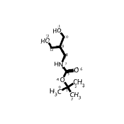 CC(C)(C)OC(=O)NCC(CO)CO